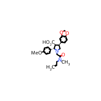 C=CCN(C)C(=O)CN1C[C@H](c2ccc3c(c2)OCO3)[C@H](C(=O)O)[C@H]1c1ccc(OC)cc1